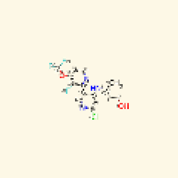 C[C@@H](CCO)Nc1cc(Cl)ncc1-c1nccc(OC(F)F)c1F